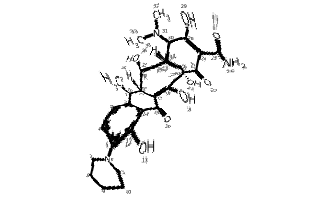 C[C@@H]1c2ccc(N3CCCCC3)c(O)c2C(=O)C2=C(O)[C@]3(O)C(=O)C(C(N)=O)=C(O)C(N(C)C)[C@H]3[C@H](O)[C@H]21